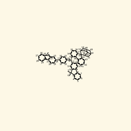 CC1(C)c2ccccc2-c2ccc(N(c3ccc(-c4ccc5c(c4)sc4ccccc45)cc3)c3cccc4c3-c3ccccc3C43C4CC5CC(C4)CC3C5)cc21